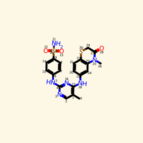 Cc1cnc(Nc2ccc(S(N)(=O)=O)cc2)nc1Nc1ccc2c(c1)N(C)C(=O)CS2